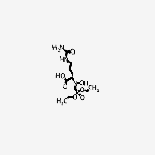 CCOP(=O)(CN(O)[C@@H](CCCNC(N)=O)C(=O)O)OCC